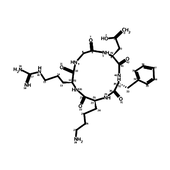 C=C(O)C[C@@H]1NC(=O)CNC(=O)[C@H](CCCNC(=N)N)NC(=O)[C@H](CCCCN)NC(=O)[C@@H](Cc2ccccc2)NC1=O